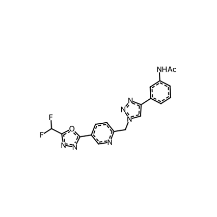 CC(=O)Nc1cccc(-c2cn(Cc3ccc(-c4nnc(C(F)F)o4)cn3)nn2)c1